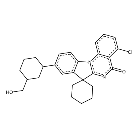 O=c1nc2n(c3cccc(Cl)c13)-c1ccc(C3CCCC(CO)C3)cc1C21CCCCC1